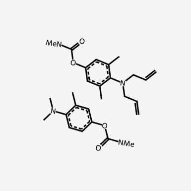 C=CCN(CC=C)c1c(C)cc(OC(=O)NC)cc1C.CNC(=O)Oc1ccc(N(C)C)c(C)c1